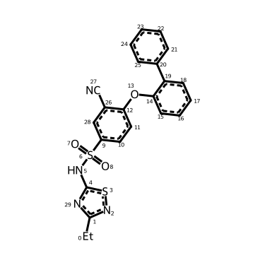 CCc1nsc(NS(=O)(=O)c2ccc(Oc3ccccc3-c3ccccc3)c(C#N)c2)n1